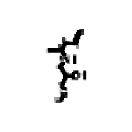 C=CCC(C)NCC(O)COC